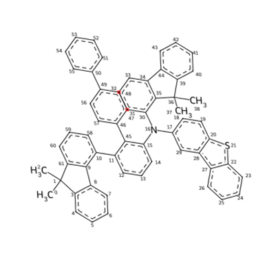 CC1(C)c2ccccc2-c2c(-c3cccc(N(c4ccc5sc6ccccc6c5c4)c4cccc5c4C(C)(C)c4ccccc4-5)c3-c3ccc(-c4ccccc4)cc3)cccc21